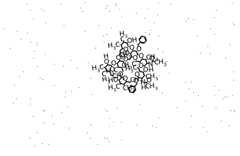 CCC1O[C@H](OCC2O[C@H](OCC3O[C@@H](O[C@@H]4C(CC)O[C@@H](O[C@@H]5C(CC)O[C@@H](OCc6ccccc6)C(NC(C)=O)[C@H]5C)C(NC(C)=O)[C@H]4C)C(OCc4ccccc4)[C@@H](O[C@@H]4OC(CC)[C@H](C)C(C)[C@@H]4O)[C@@H]3O)C(O)[C@@H](O[C@@H]3OC(CC)[C@H](C)C(C)[C@@H]3O)[C@@H]2C)[C@H](O)C(C)[C@@H]1C